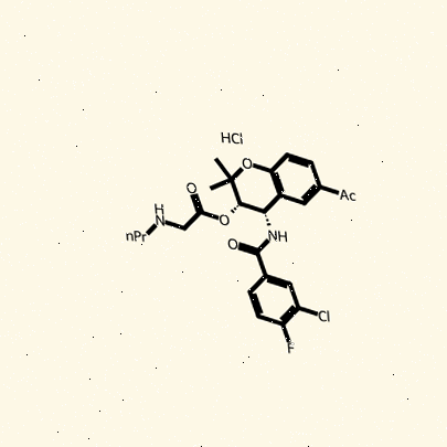 CCCNCC(=O)O[C@H]1[C@@H](NC(=O)c2ccc(F)c(Cl)c2)c2cc(C(C)=O)ccc2OC1(C)C.Cl